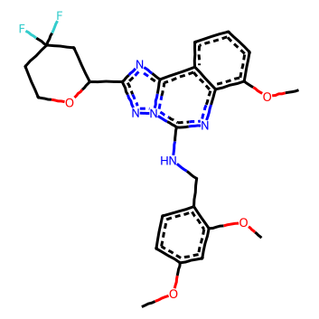 COc1ccc(CNc2nc3c(OC)cccc3c3nc(C4CC(F)(F)CCO4)nn23)c(OC)c1